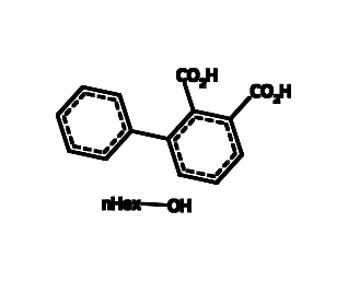 CCCCCCO.O=C(O)c1cccc(-c2ccccc2)c1C(=O)O